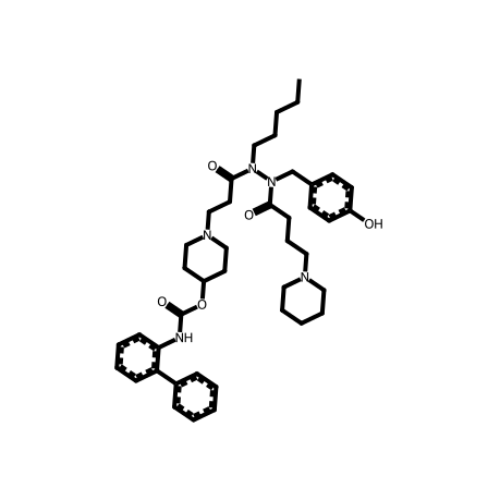 CCCCCN(C(=O)CCN1CCC(OC(=O)Nc2ccccc2-c2ccccc2)CC1)N(Cc1ccc(O)cc1)C(=O)CCCN1CCCCC1